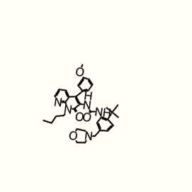 CCCCn1c(=O)c(NC(=O)Nc2cc(CN3CCOCC3)ccc2C(C)(C)C)c(-c2cccc(OC)c2)c2cccnc21